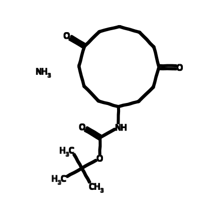 CC(C)(C)OC(=O)NC1CCCC(=O)CCCCC(=O)CC1.N